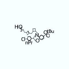 CCCc1cc(Cl)ccc1C1COc2ccc(C(=O)OC(C)(C)C)cc2N(CC2CCC2CC2=CC(CCSO)C2)C1